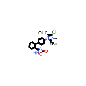 CCCCC1N(C)C(Cl)=C(C=O)N1c1ccc(-c2ccccc2-c2nc(=O)o[nH]2)cc1